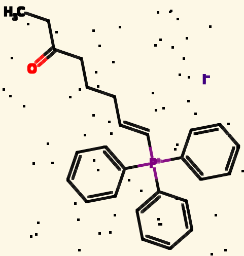 CCC(=O)CCCC=C[P+](c1ccccc1)(c1ccccc1)c1ccccc1.[I-]